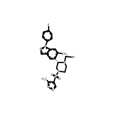 Cc1cc2c(cnn2-c2ccc(F)cc2)cc1[C@H]1CN(S(=O)(=O)c2conc2C)CCN1CC(C)C